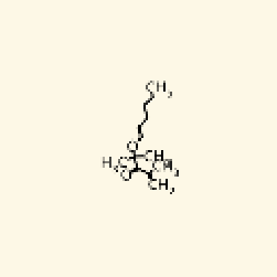 C=C(C)C(=O)C(C)(C)OCCCCCC